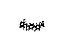 Cc1cc2c(cc1-c1ccc(NCc3c(F)cccc3F)nc1)OC(F)(F)O2